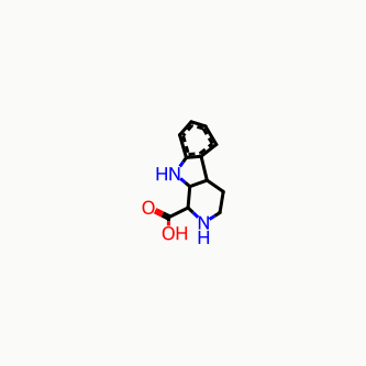 O=C(O)C1NCCC2c3ccccc3NC12